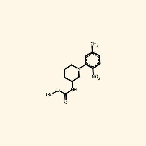 Cc1ccc([N+](=O)[O-])c(N2CCCC(NC(=O)OC(C)(C)C)C2)c1